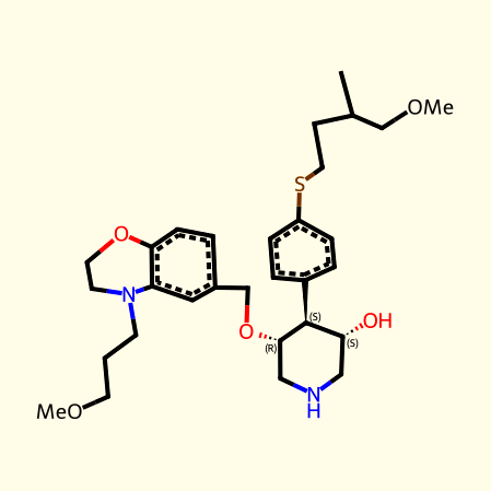 COCCCN1CCOc2ccc(CO[C@H]3CNC[C@@H](O)[C@@H]3c3ccc(SCCC(C)COC)cc3)cc21